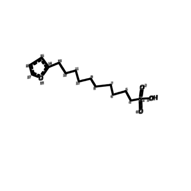 O=S(=O)(O)CCCCCCCCCCc1ccco1